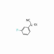 CC[C@@H](C#N)c1cccc(F)c1